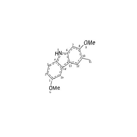 COc1ccc2[nH]c3cc(OC)c(C)cc3c2c1